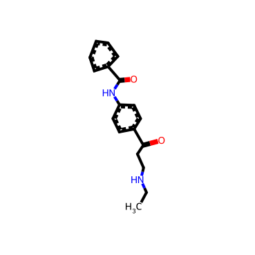 CCNCCC(=O)c1ccc(NC(=O)c2ccccc2)cc1